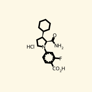 Cl.NC(=O)[C@@H]1[C@H](C2CCCCC2)CCN1c1ccc(C(=O)O)c(F)c1